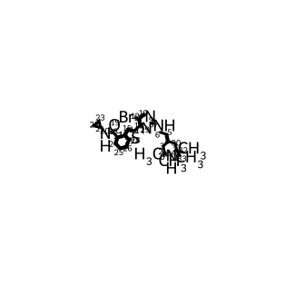 CC1(C)CC(=CCNc2ncc(Br)c(-c3cc4c(C(=O)NC5CC5)cccc4s3)n2)CC(C)(C)N1